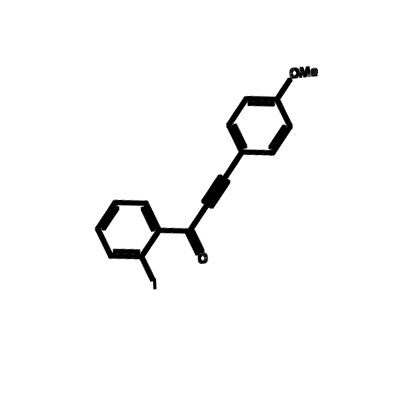 COc1ccc(C#CC(=O)c2ccccc2I)cc1